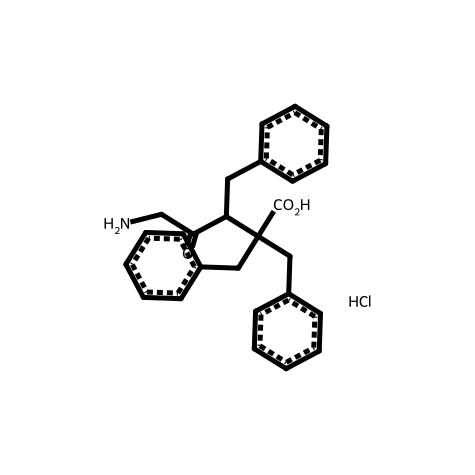 Cl.NCC(=O)C(Cc1ccccc1)C(Cc1ccccc1)(Cc1ccccc1)C(=O)O